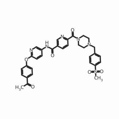 CC(=O)c1ccc(Oc2ccc(NC(=O)c3ccc(C(=O)N4CCN(Cc5ccc(S(C)(=O)=O)cc5)CC4)nc3)cn2)cc1